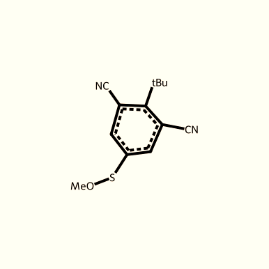 COSc1cc(C#N)c(C(C)(C)C)c(C#N)c1